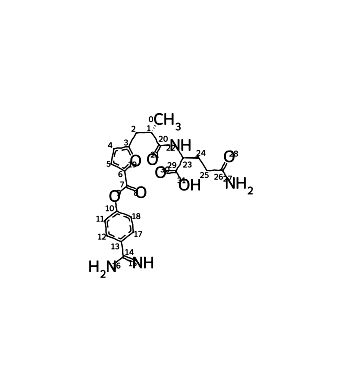 C[C@@H](Cc1ccc(C(=O)Oc2ccc(C(=N)N)cc2)o1)C(=O)N[C@@H](CCC(N)=O)C(=O)O